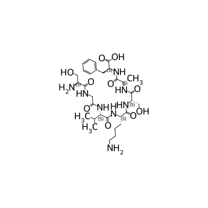 CC(C)[C@H](NC(=O)CNC(=O)[C@@H](N)CO)C(=O)N[C@@H](CCCCN)C(=O)N[C@@H](CO)C(=O)N[C@@H](C)C(=O)N[C@@H](Cc1ccccc1)C(=O)O